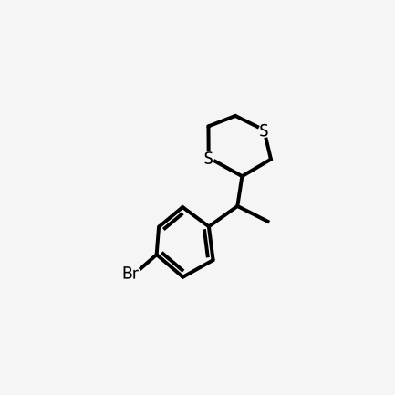 CC(c1ccc(Br)cc1)C1CSCCS1